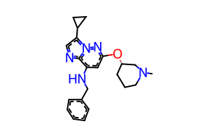 CN1CCC[C@H](Oc2cc(NCc3ccccc3)c3ncc(C4CC4)n3n2)C1